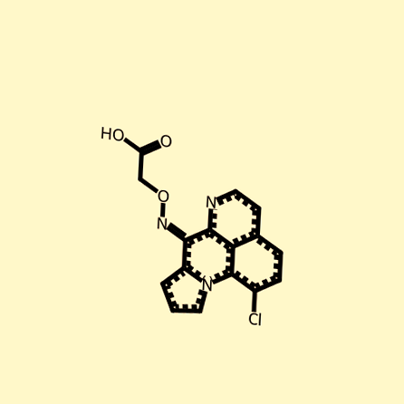 O=C(O)CON=c1c2nccc3ccc(Cl)c(c32)n2cccc12